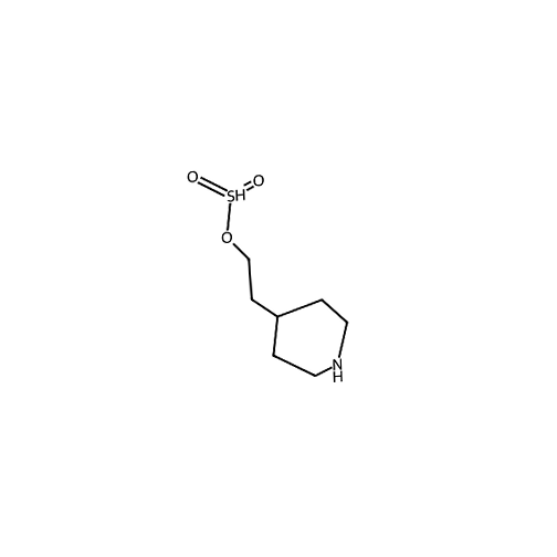 O=[SH](=O)OCCC1CCNCC1